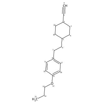 C#CC1CCC(CCc2ccc(OCCC)cc2)CC1